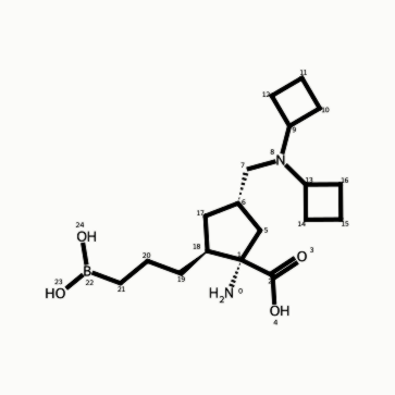 N[C@@]1(C(=O)O)C[C@@H](CN(C2CCC2)C2CCC2)C[C@@H]1CCCB(O)O